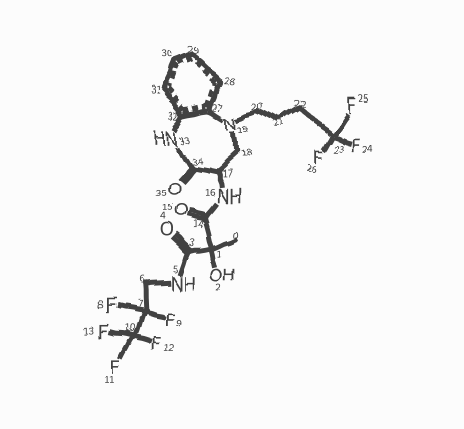 CC(O)(C(=O)NCC(F)(F)C(F)(F)F)C(=O)NC1CN(CCCC(F)(F)F)c2ccccc2NC1=O